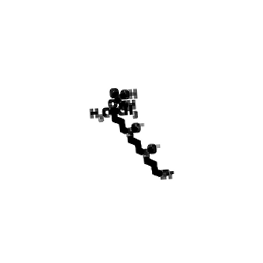 CC(C)CCC[S+]([O-])CCC[S+]([O-])CCCC(C)(C)OP(=O)(O)O